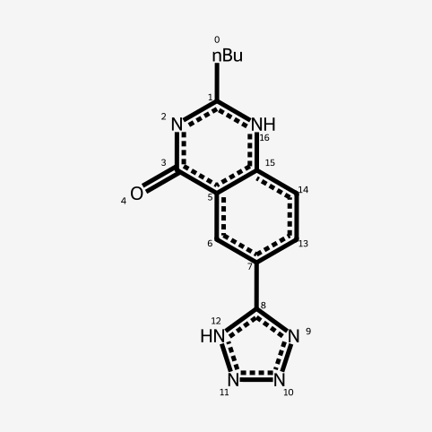 CCCCc1nc(=O)c2cc(-c3nnn[nH]3)ccc2[nH]1